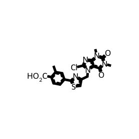 Cc1cc(-c2nc(Cn3c(Cl)nc4c3c(=O)n(C)c(=O)n4C)cs2)ccc1C(=O)O